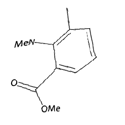 CNc1c(C)cccc1C(=O)OC